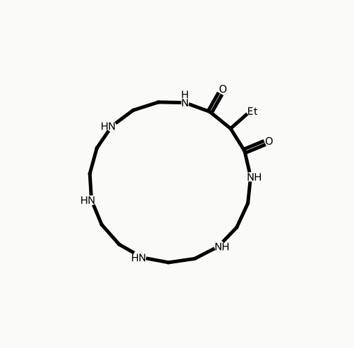 CCC1C(=O)NCCNCCNCCNCCNCCNC1=O